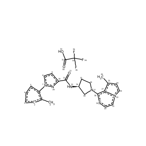 Cc1ccccc1-n1ccc(C(=O)N[C@H]2CCN(c3nccn4ccc(C)c34)C2)n1.O=C(O)C(F)(F)F